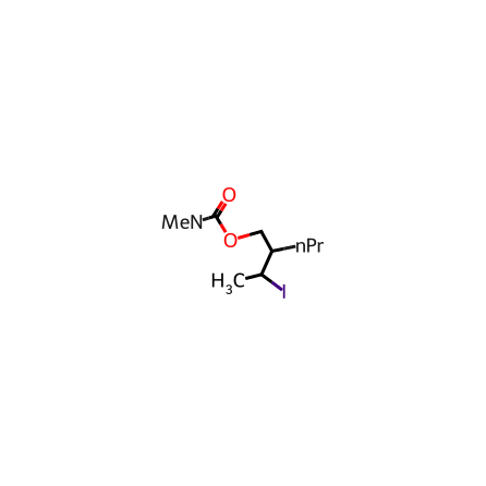 CCCC(COC(=O)NC)C(C)I